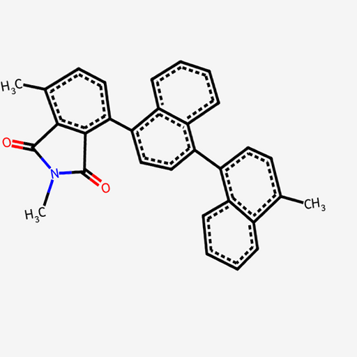 Cc1ccc(-c2ccc(-c3ccc(C)c4ccccc34)c3ccccc23)c2c1C(=O)N(C)C2=O